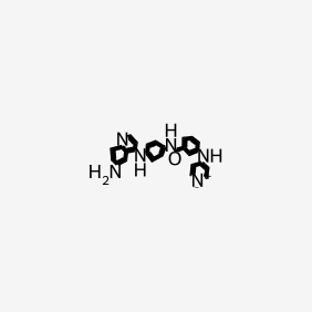 C[n+]1ccc(Nc2cccc(C(=O)Nc3ccc(Nc4ccnc5ccc(N)cc45)cc3)c2)cc1